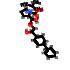 CC(C)(C)[N@+]1(C(=O)O)CCCC1C(=O)OCC(=O)c1ccc(-c2ccccc2)cc1